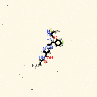 CC(C)c1snnc1C(=O)N[C@H](c1cn2ncc([C@@H](O)NC(=O)CCC(F)(F)F)cc2n1)C1CCC(F)(F)CC1